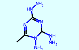 CC1=NC(NN)=NC(NN)N1N